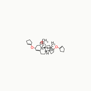 COC[C@@]12C(=CC(OC3=CCCC3)CC1C)CC[C@@H]1[C@H]2CC[C@]2(C)C(OC3=CCCC3)CC[C@@H]12